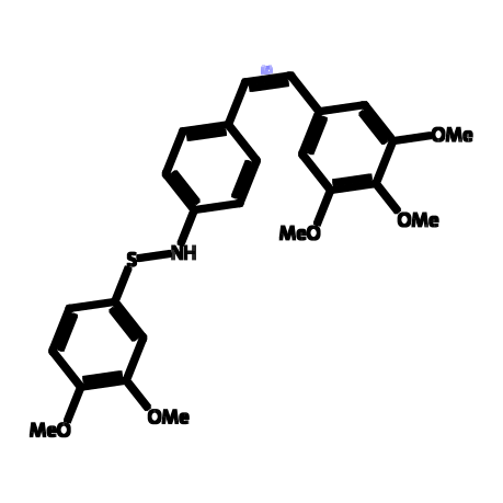 COc1ccc(SNc2ccc(/C=C\c3cc(OC)c(OC)c(OC)c3)cc2)cc1OC